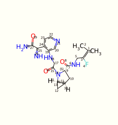 CC(C)=C(F)CNC(=O)[C@@H]1C[C@H]2C[C@H]2N1C(=O)CNc1cnccc1C(=N)C(N)=O